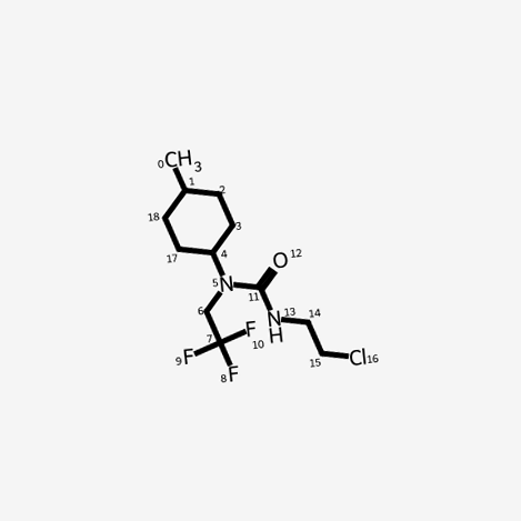 CC1CCC(N(CC(F)(F)F)C(=O)NCCCl)CC1